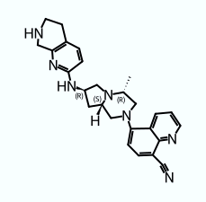 C[C@@H]1CN(c2ccc(C#N)c3ncccc23)C[C@@H]2C[C@@H](Nc3ccc4c(n3)CNCC4)CN21